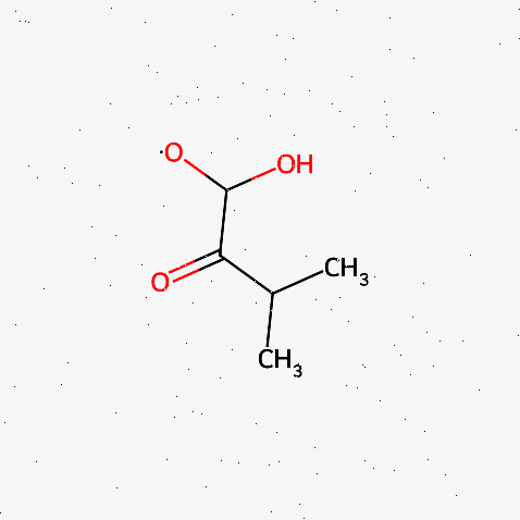 CC(C)C(=O)C([O])O